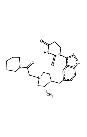 C[C@@H]1CN(CC(=O)N2CCCCC2)CCN1Cc1ccc2onc(N3CCC(=O)NC3=O)c2c1